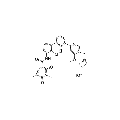 COc1cc(-c2cccc(-c3cccc(NC(=O)c4cn(C)c(=O)n(C)c4=O)c3Cl)c2Cl)ncc1CN1CC(CO)C1